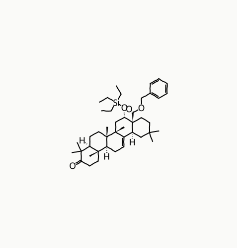 CC[Si](CC)(CC)O[C@H]1C[C@]2(C)C(=CC[C@H]3[C@]4(C)CCC(=O)C(C)(C)[C@H]4CC[C@@]32C)[C@@H]2CC(C)(C)CC[C@@]12C(=O)OCc1ccccc1